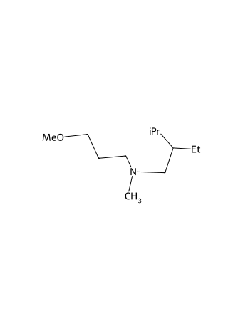 CCC(CN(C)CCCOC)C(C)C